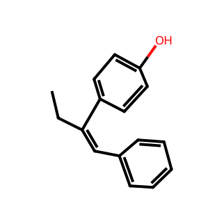 CCC(=Cc1ccccc1)c1ccc(O)cc1